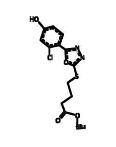 CC(C)(C)OC(=O)CCCSc1nnc(-c2ccc(O)cc2Cl)o1